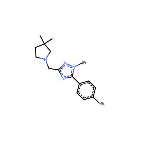 CC(C)n1nc(CN2CCC(C)(C)C2)nc1-c1ccc(C(C)(C)C)cc1